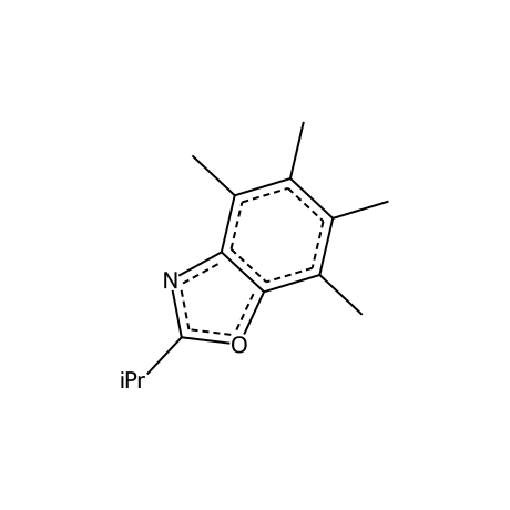 Cc1c(C)c(C)c2oc(C(C)C)nc2c1C